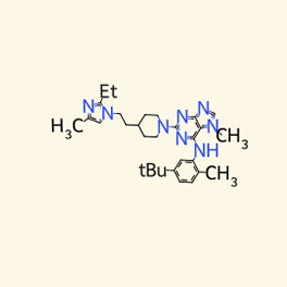 CCc1nc(C)cn1CCC1CCN(c2nc(Nc3cc(C(C)(C)C)ccc3C)c3c(ncn3C)n2)CC1